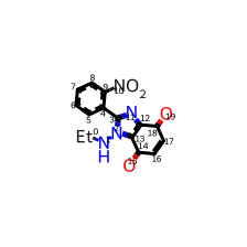 CCNn1c(-c2ccccc2[N+](=O)[O-])nc2c1C(=O)C=CC2=O